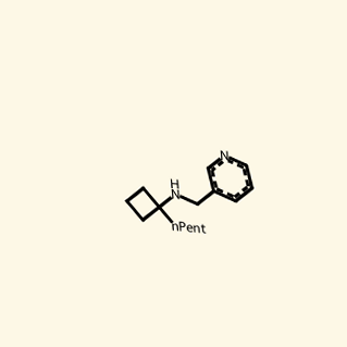 CCCCCC1(NCc2cccnc2)CCC1